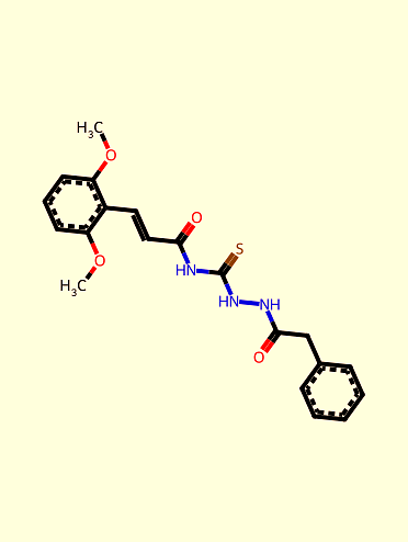 COc1cccc(OC)c1/C=C/C(=O)NC(=S)NNC(=O)Cc1ccccc1